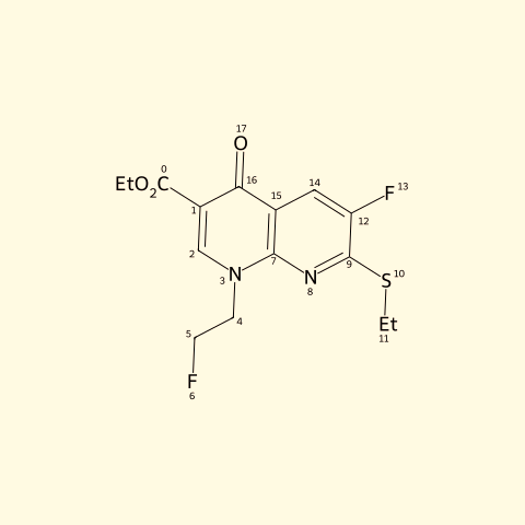 CCOC(=O)c1cn(CCF)c2nc(SCC)c(F)cc2c1=O